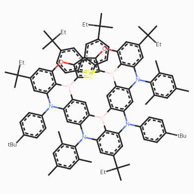 CCC(C)(C)c1cc2c3c(c1)N(c1ccc(C(C)(C)C)cc1)c1cc4c(cc1B3c1sc3ccc(C(C)(C)CC)cc3c1O2)B1c2cc3c(cc2N(c2ccc(C(C)(C)C)cc2)c2cc(C(C)(C)CC)cc(c21)N4c1c(C)cc(C)cc1C)N(c1c(C)cc(C)cc1C)c1cc(C(C)(C)CC)cc2c1B3c1sc3ccc(C(C)(C)CC)cc3c1O2